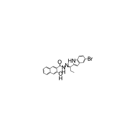 CC/C(=N\NC(=O)c1cc2ccccc2cc1O)c1cc2cc(Br)ccc2[nH]1